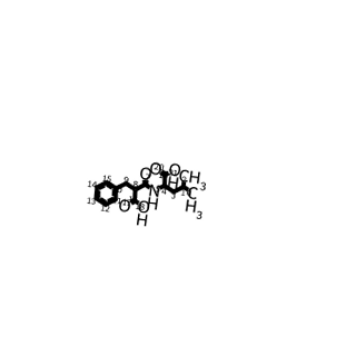 CC(C)CC(NC(=O)C(Cc1ccccc1)C(=O)O)C(=O)O